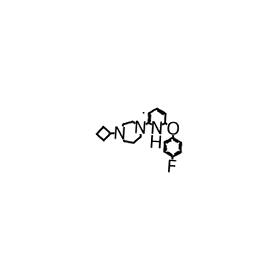 Fc1ccc(OC2C=C[C]=C(N3CCCN(C4CCC4)CC3)N2)cc1